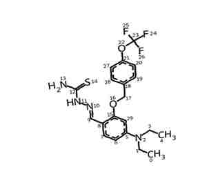 CCN(CC)c1ccc(C=NNC(N)=S)c(OCc2ccc(OC(F)(F)F)cc2)c1